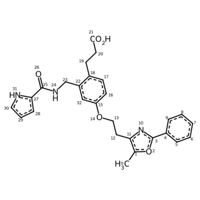 Cc1oc(-c2ccccc2)nc1CCOc1ccc(CCC(=O)O)c(CNC(=O)c2ccc[nH]2)c1